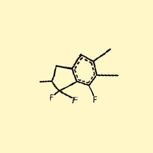 Cc1cc2c(c(F)c1C)C(F)(F)C(C)C2